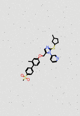 Cc1cc(OCc2cnc(SC3CCC(C)C3)n2-c2cccnc2)ccc1-c1ccc(S(C)(=O)=O)cc1